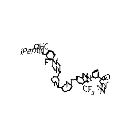 CCCC(C)N(C)Cc1c(C=O)ccc(N2CCN(CC3CCCN(CC4CCCN(Cc5cc(C(F)(F)F)c6cn(-c7cccc(C8(Cc9nncn9C)COC8)c7)nc6c5)C4)C3)CC2)c1F